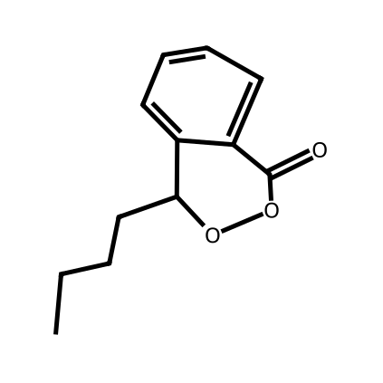 CCCCC1OOC(=O)c2ccccc21